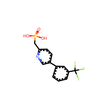 O=P(O)(O)Cc1ccc(-c2cccc(C(F)(F)F)c2)cn1